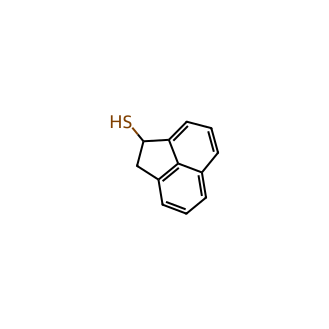 SC1Cc2cccc3cccc1c23